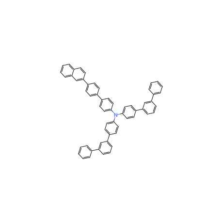 c1ccc(-c2cccc(-c3ccc(N(c4ccc(-c5ccc(-c6ccc7ccccc7c6)cc5)cc4)c4ccc(-c5cccc(-c6ccccc6)c5)cc4)cc3)c2)cc1